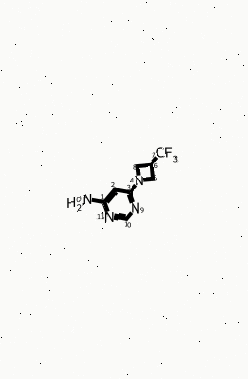 Nc1cc(N2CC(C(F)(F)F)C2)ncn1